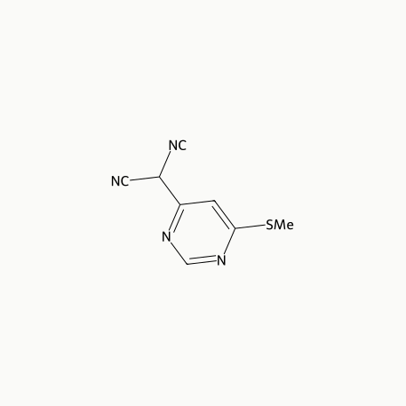 [C-]#[N+]C(C#N)c1cc(SC)ncn1